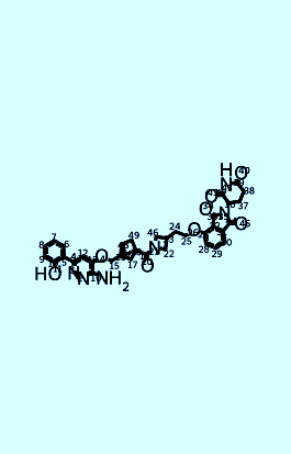 Nc1nnc(-c2ccccc2O)cc1OCC1CC2(C(=O)N3CC(CCOc4cccc5c4C(=O)N(C4CCC(=O)NC4=O)C5=O)C3)CC1C2